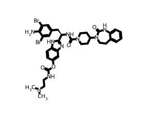 CN(C)CCNC(=O)Oc1ccc2[nH]c([C@@H](Cc3cc(Br)c(N)c(Br)c3)NC(=O)N3CCC(N4CCc5ccccc5NC4=O)CC3)nc2c1